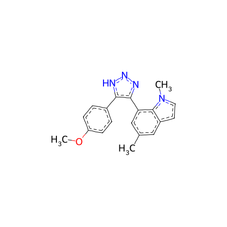 COc1ccc(-c2[nH]nnc2-c2cc(C)cc3ccn(C)c23)cc1